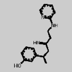 CC(CC(=N)CCNc1ccccn1)c1cccc(O)c1